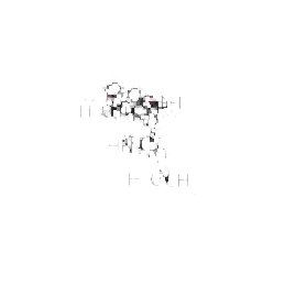 CN(C)CCOc1nc2c(c(N3CCN(C(=O)O)C(CCO[Si](c4ccccc4)(c4ccccc4)C(C)(C)C)(C(C)(C)C)C3)n1)CCNC2